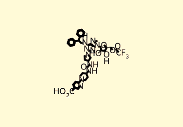 O=C(NC1CCN(c2ccc(C(=O)O)cn2)CC1)N[C@@H]1CCN(c2nc(NCC(c3ccccc3)c3ccccc3)c3ncn([C@@H]4O[C@H](COC(=O)C(F)(F)F)[C@@H](O)[C@H]4O)c3n2)C1